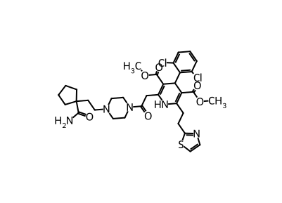 COC(=O)C1=C(CCc2nccs2)NC(CC(=O)N2CCN(CCC3(C(N)=O)CCCC3)CC2)=C(C(=O)OC)C1c1c(Cl)cccc1Cl